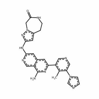 Cc1c(-c2cc3cc(Nc4cc5n(n4)CC(=O)NCC5)ncc3c(N)n2)cncc1-n1ccnc1